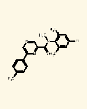 Cc1cc(Cl)cc(C)c1N(C)C(=O)c1cncc(-c2ccc(C(F)(F)F)cc2)n1